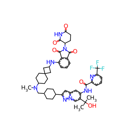 CN(CC1CCC(c2cc3cc(NC(=O)c4cccc(C(F)(F)F)n4)c(C(C)(C)O)cn3n2)CC1)C1CCC2(CC1)CC(Nc1cccc3c1C(=O)N(C1CCC(=O)NC1=O)C3=O)C2